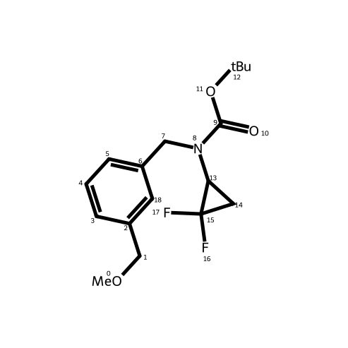 COCc1cccc(CN(C(=O)OC(C)(C)C)C2CC2(F)F)c1